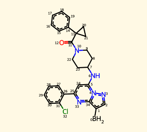 Bc1cnn2c(NC3CCN(C(=O)C4(c5ccccc5)CC4)CC3)cc(-c3ccccc3Cl)nc12